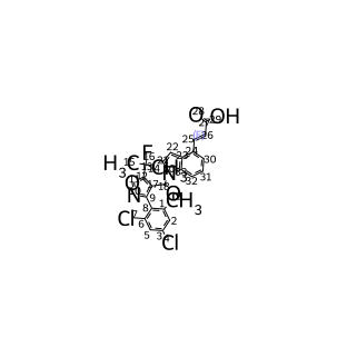 Cc1cc(Cl)cc(Cl)c1-c1noc(C(C)(C)F)c1C(=O)n1ccc2c(/C=C/C(=O)O)cccc21